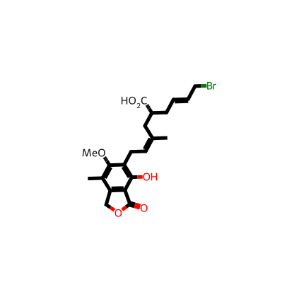 COc1c(C)c2c(c(O)c1CC=C(C)CC(CC=CCBr)C(=O)O)C(=O)OC2